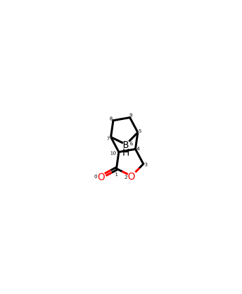 O=C1OCC2C3BC(CC3)C12